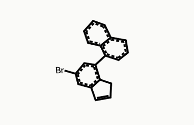 Brc1cc2c(c(-c3cccc4ccccc34)c1)CC=C2